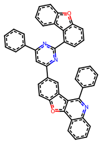 c1ccc(-c2cc(-c3ccc4oc5c6ccccc6nc(-c6ccccc6)c5c4c3)nc(-c3cccc4oc5ccccc5c34)n2)cc1